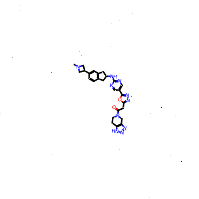 CN1CC(c2ccc3c(c2)CC(Nc2ncc(-c4nnc(CC(=O)N5CCc6[nH]nnc6C5)o4)cn2)C3)C1